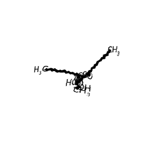 CCCCCCCCCCCCCCCC(=O)OCC(COP(=O)(O)SC(C)O)OC(=O)CCCCCCCCCCCCCCC